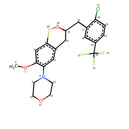 COc1cc2c(cc1N1CCOCC1)CC(Cc1cc(C(F)(F)F)ccc1Cl)OS2